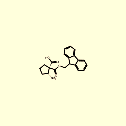 N[C@@H]1CCC[C@@]1(C(=O)O)C(=O)OCC1c2ccccc2-c2ccccc21